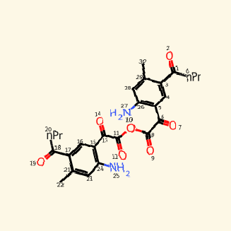 CCCC(=O)c1cc(C(=O)C(=O)OC(=O)C(=O)c2cc(C(=O)CCC)c(C)cc2N)c(N)cc1C